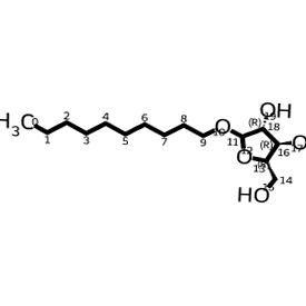 CCCCCCCCCCOC1O[C@H](CO)[C@H](O)[C@H]1O